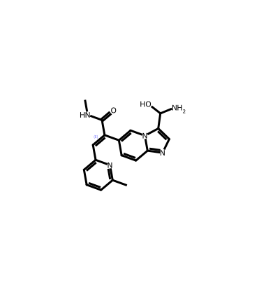 CNC(=O)/C(=C/c1cccc(C)n1)c1ccc2ncc(C(N)O)n2c1